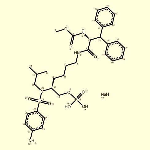 COC(=O)N[C@H](C(=O)NCCCC[C@@H](COP(=O)(O)O)N(CC(C)C)S(=O)(=O)c1ccc(N)cc1)C(c1ccccc1)c1ccccc1.[NaH]